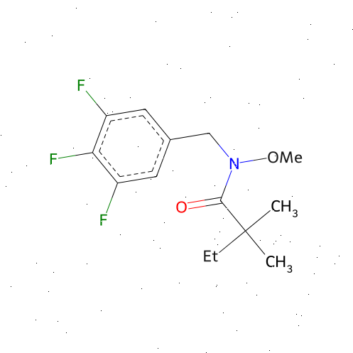 CCC(C)(C)C(=O)N(Cc1cc(F)c(F)c(F)c1)OC